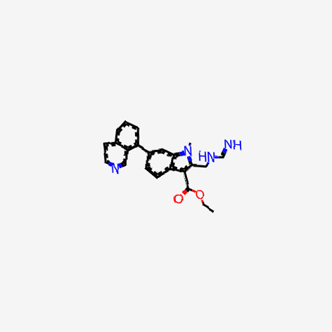 CCOC(=O)c1c(CNC=N)n(C)c2cc(-c3cccc4ccncc34)ccc12